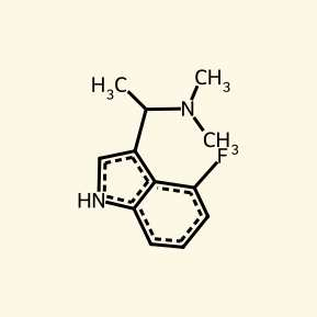 CC(c1c[nH]c2cccc(F)c12)N(C)C